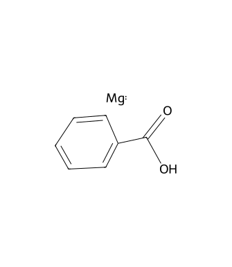 O=C(O)c1ccccc1.[Mg]